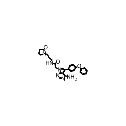 Nc1ncnc2c1c(-c1ccc(Oc3ccccc3)cc1)cn2CC(=O)NCCCN1CCCC1=O